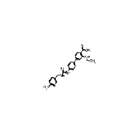 CCNc1cc(-c2ccc(NC(=O)NCc3ccc(N)nc3)cc2)ccc1C(=O)O